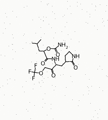 CC(C)CC(OC(N)=O)C(=O)NC(CC1CCNC1=O)C(=O)COC(F)(F)F